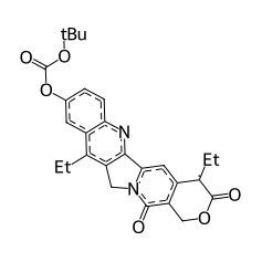 CC[C]1C(=O)OCc2c1cc1n(c2=O)Cc2c-1nc1ccc(OC(=O)OC(C)(C)C)cc1c2CC